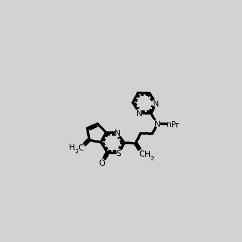 C=C(CCN(CCC)c1ncccn1)c1nc2c(c(=O)s1)C(=C)C=C2